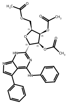 CC(=O)OC[C@@H]1O[C@@H](c2nc(Nc3ccccc3)c3c(-c4ccccc4)cnc-3[nH]2)[C@H](OC(C)=O)[C@@H]1OC(C)=O